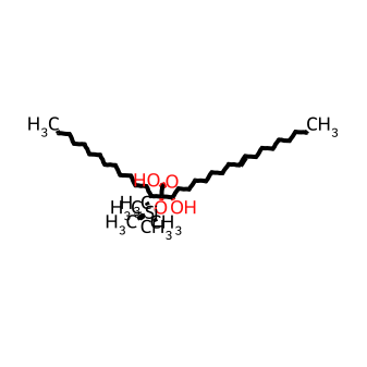 CCCCCCCCC=CCCCCCCCC(O)C(CCCCCCCCCCCCCC)(O[Si](C)(C)C(C)(C)C)C(=O)O